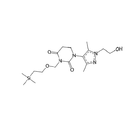 Cc1nn(CCO)c(C)c1N1CCC(=O)N(COCC[Si](C)(C)C)C1=O